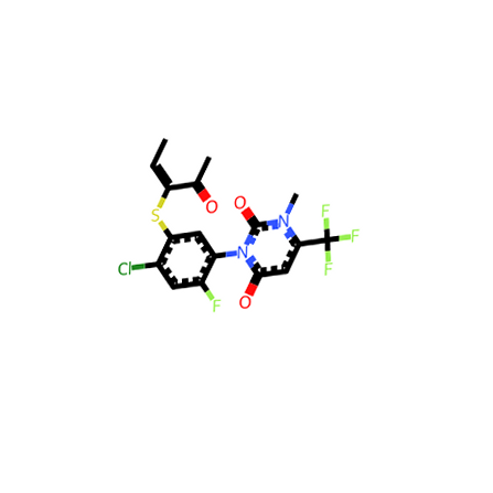 CC=C(Sc1cc(-n2c(=O)cc(C(F)(F)F)n(C)c2=O)c(F)cc1Cl)C(C)=O